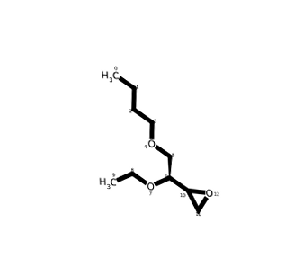 CCCCOC[C@H](OCC)C1CO1